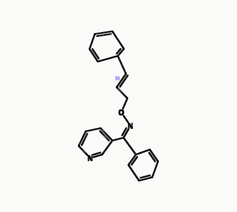 C(=C\c1ccccc1)/CON=C(c1ccccc1)c1cccnc1